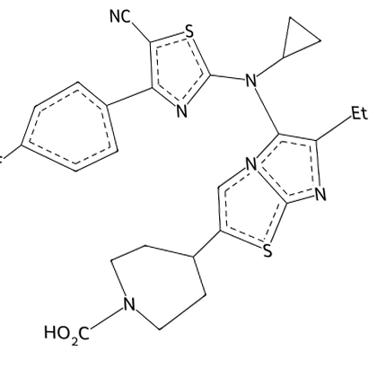 CCc1nc2sc(C3CCN(C(=O)O)CC3)cn2c1N(c1nc(-c2ccc(F)cc2)c(C#N)s1)C1CC1